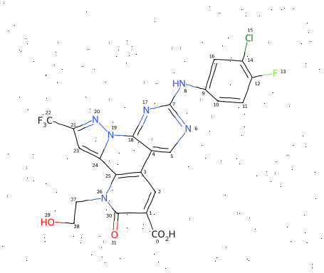 O=C(O)c1cc2c3cnc(Nc4ccc(F)c(Cl)c4)nc3n3nc(C(F)(F)F)cc3c2n(CCO)c1=O